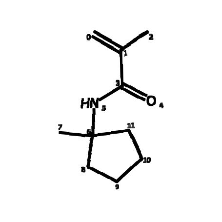 C=C(C)C(=O)NC1(C)CCCC1